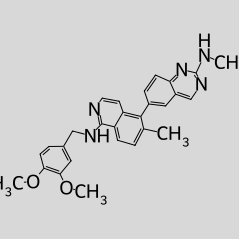 CNc1ncc2cc(-c3c(C)ccc4c(NCc5ccc(OC)c(OC)c5)nccc34)ccc2n1